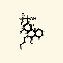 CCCCn1c(=O)c2ccccc2c2cc(C(C)(O)C(F)(F)F)cc(C)c21